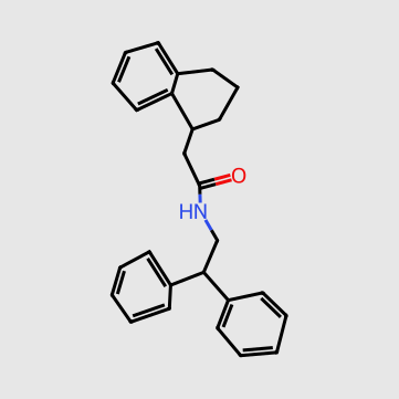 O=C(CC1CCCc2ccccc21)NCC(c1ccccc1)c1ccccc1